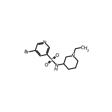 CCN1CCCC(NS(=O)(=O)c2cncc(Br)c2)C1